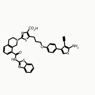 C#Cc1c(-c2ccc(OCCCc3sc(N4CCc5cccc(C(=O)Nc6nc7ccccc7s6)c5C4)nc3C(=O)O)cc2)csc1N